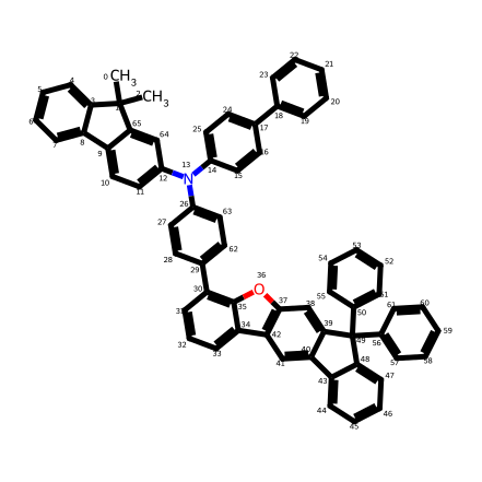 CC1(C)c2ccccc2-c2ccc(N(c3ccc(-c4ccccc4)cc3)c3ccc(-c4cccc5c4oc4cc6c(cc45)-c4ccccc4C6(c4ccccc4)c4ccccc4)cc3)cc21